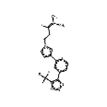 CC(C)=C(F)CCn1cnc(-c2cc(-c3nn[nH]c3C(F)(F)F)ccn2)c1